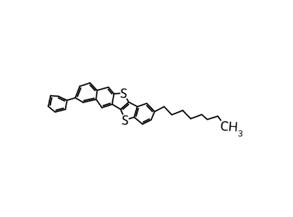 CCCCCCCCc1ccc2sc3c4cc5cc(-c6ccccc6)ccc5cc4sc3c2c1